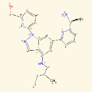 CCC[C@H](N)c1cccc(-c2cc(NCC(C)CCl)c3cnn(-c4cccc(CO)n4)c3c2)n1